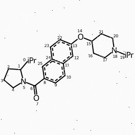 CC(C)C1CCCN1C(=O)c1ccc2cc(OC3CCN(C(C)C)CC3)ccc2c1